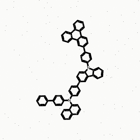 c1ccc(-c2ccc(N(c3ccc(-c4ccc5c(c4)c4ccccc4n5-c4ccc(-c5ccc6c7ccccc7c7ccccc7c6c5)cc4)cc3)c3cccc4ccccc34)cc2)cc1